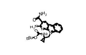 CC(C)(C)OC(=O)NC1(Cn2c3ccccc3c3cc(C(N)=O)c(N)nc32)CC1